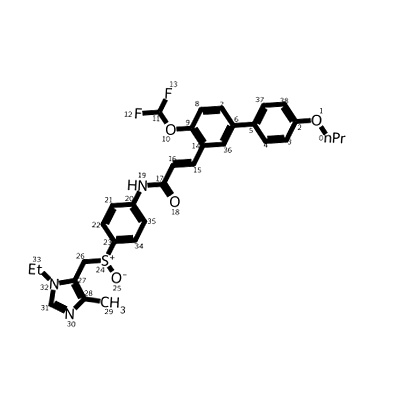 CCCOc1ccc(-c2ccc(OC(F)F)c(/C=C/C(=O)Nc3ccc([S+]([O-])Cc4c(C)ncn4CC)cc3)c2)cc1